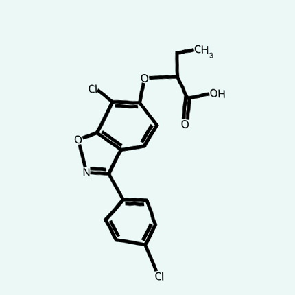 CCC(Oc1ccc2c(-c3ccc(Cl)cc3)noc2c1Cl)C(=O)O